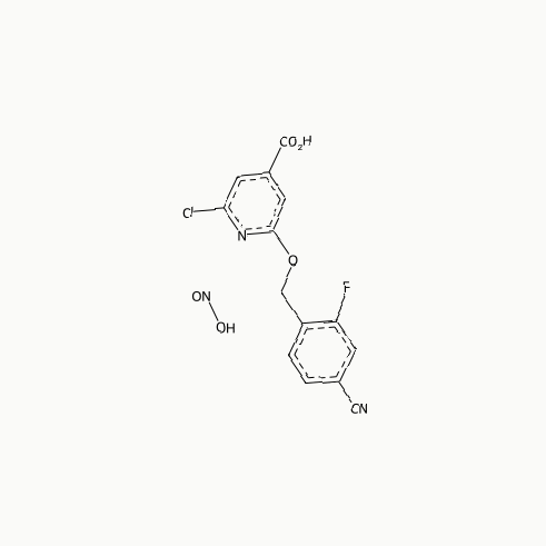 N#Cc1ccc(COc2cc(C(=O)O)cc(Cl)n2)c(F)c1.O=NO